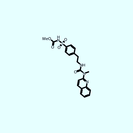 COC(=O)NS(=O)(=O)c1ccc(CCNC(=O)N(C)c2ccc3ccccc3n2)cc1